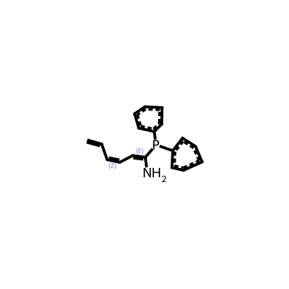 C=C/C=C\C=C(/N)P(c1ccccc1)c1ccccc1